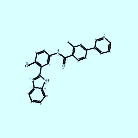 Cc1cc(-c2cccnc2)ccc1C(=O)Nc1ccc(Cl)c(-c2nc3ccccc3[nH]2)c1